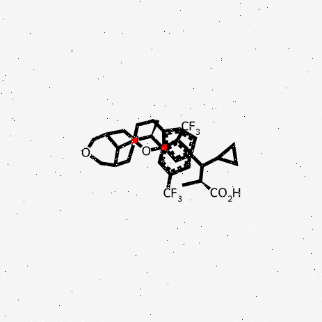 C[C@H](C(=O)O)C(c1ccc2c(c1)OC(C1C3COCC1CN([C@@H](C)c1cc(C(F)(F)F)ccc1C(F)(F)F)C3)CC2)C1CC1